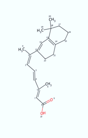 C/C(=C/C=C/C(C)=C/C(=O)O)C1=CC2=C(CCCC2(C)C)CC1